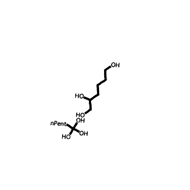 CCCCCC(O)(O)O.OCCCCC(O)CO